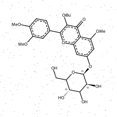 COc1ccc(-c2oc3cc(O[C@@H]4OC(CO)[C@@H](O)C(O)[C@@H]4O)cc(OC)c3c(=O)c2OCC(C)C)cc1OC